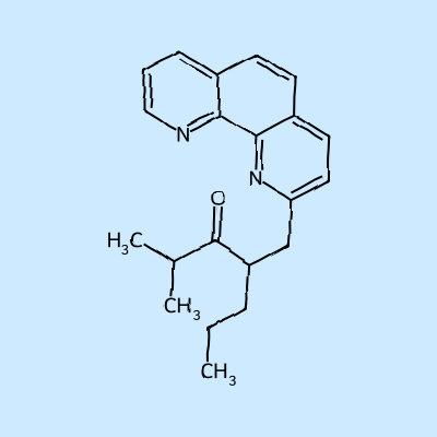 CCCC(Cc1ccc2ccc3cccnc3c2n1)C(=O)C(C)C